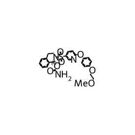 COCCOc1ccc(Oc2ccc(S(=O)(=O)N3CCc4ccccc4[C@H]3OC(N)=O)cn2)cc1